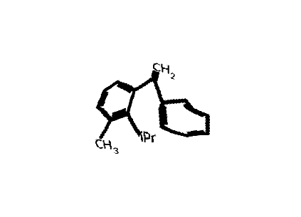 C=C(c1ccccc1)c1cccc(C)c1C(C)C